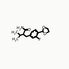 CC(C)C(Cc1ccc(C2OCCO2)c(F)c1)C(N)=O